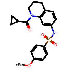 CCCOc1ccc(S(=O)(=O)Nc2ccc3c(c2)N(C(=O)C2CC2)CCC3)cc1